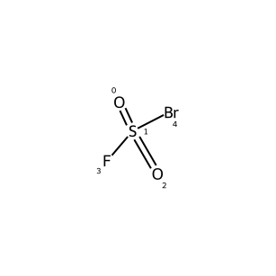 O=S(=O)(F)Br